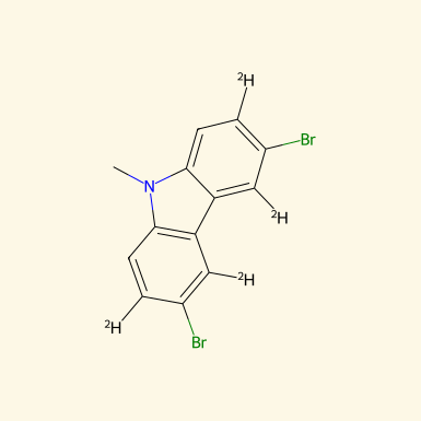 [2H]c1cc2c(c([2H])c1Br)c1c([2H])c(Br)c([2H])cc1n2C